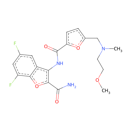 COCCN(C)Cc1ccc(C(=O)Nc2c(C(N)=O)oc3c(F)cc(F)cc23)o1